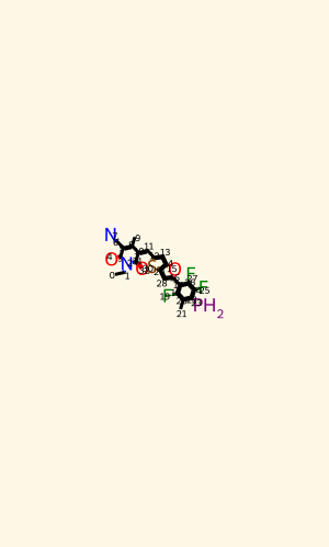 CCN1C(=O)C(C#N)=C(C)/C(=C/c2cc3oc(-c4c(F)c(C)c(P)c(F)c4F)cc3s2)C1=O